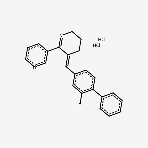 Cl.Cl.Fc1cc(C=C2CCCN=C2c2cccnc2)ccc1-c1ccccc1